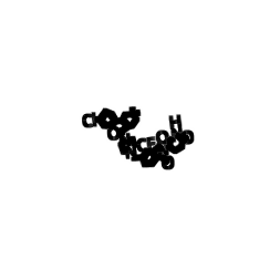 CC1(C)CCC(C(=O)N2CCN(Cc3ccc4c(c3)CN(C3CCC(=O)NC3=O)C4=O)C(C(F)(F)F)C2)=C(c2ccc(Cl)cc2)C1